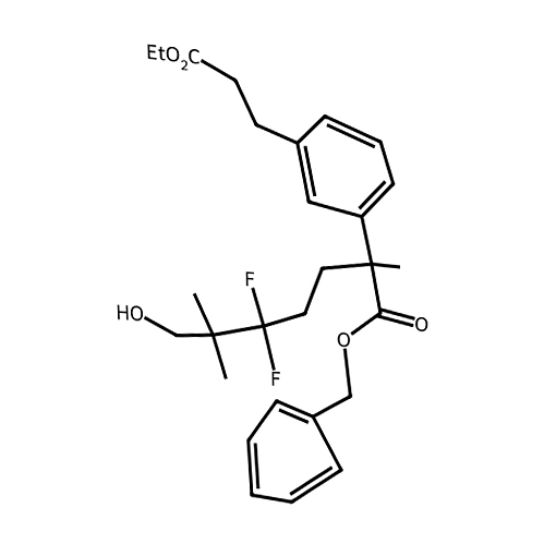 CCOC(=O)CCc1cccc(C(C)(CCC(F)(F)C(C)(C)CO)C(=O)OCc2ccccc2)c1